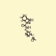 O=C(NCc1cn(C[C@@H]2CO2)nn1)c1n[nH]c2ccccc12